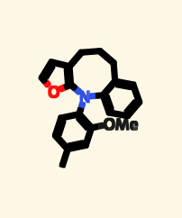 COc1cc(C)ccc1N1c2ccccc2CCCc2ccoc21